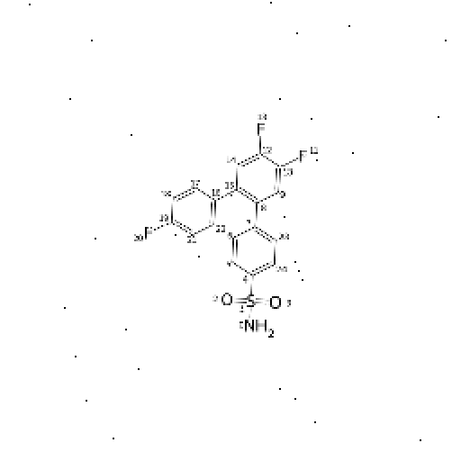 NS(=O)(=O)c1ccc(-c2cc(F)c(F)cc2-c2ccc(F)cc2)cc1